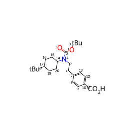 CC(C)(C)OC(=O)N(CCc1ccc(C(=O)O)cc1)C1CCC(C(C)(C)C)CC1